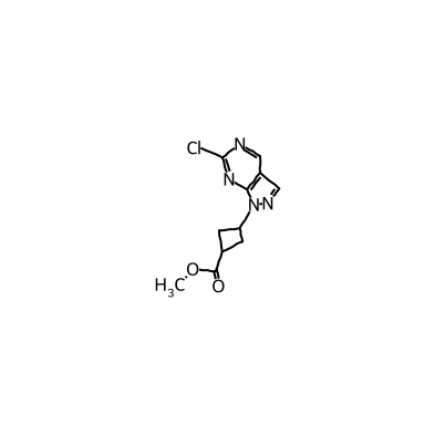 COC(=O)C1CC(n2ncc3cnc(Cl)nc32)C1